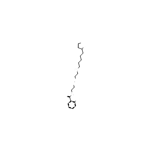 O=C(NCCSSCCNCCCCCC1CCSS1)c1ccccc1O